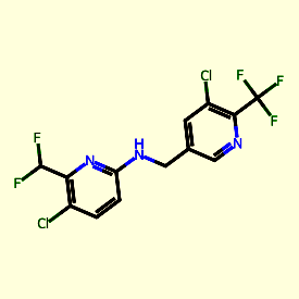 FC(F)c1nc(NCc2cnc(C(F)(F)F)c(Cl)c2)ccc1Cl